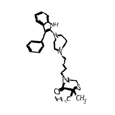 CC1(C)SCN(CCCCN2CCN(c3[nH]c4ccccc4c3-c3ccccc3)CC2)C1=O